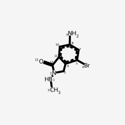 CBN1Cc2c(Br)cc(N)cc2C1=O